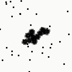 c1ccc(-c2ccc(N(c3ccccc3)c3cc(N(c4ccccc4)c4ccccc4)cc4c3sc3ccc(-c5ccc(-c6cccc7c6sc6ccccc67)cc5)cc34)cc2)cc1